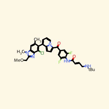 COCc1nc2c(Cl)c(-c3cccn4c(C(=O)c5cc(F)c(NC(=O)/C=C/CNC(C)(C)C)c(F)c5)ccc34)c(C)cc2n1C